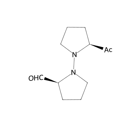 CC(=O)[C@@H]1CCCN1N1CCC[C@H]1C=O